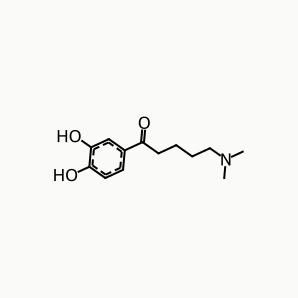 CN(C)CCCCC(=O)c1ccc(O)c(O)c1